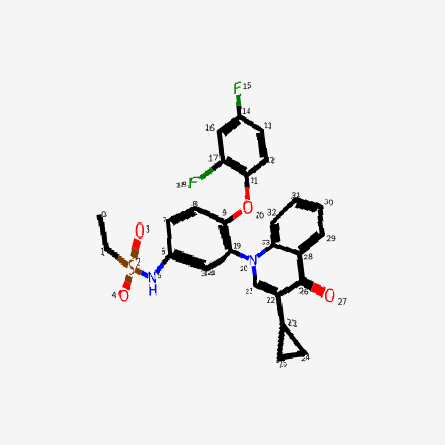 CCS(=O)(=O)Nc1ccc(Oc2ccc(F)cc2F)c(-n2cc(C3CC3)c(=O)c3ccccc32)c1